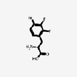 N[C@@H](Cc1ccc(Br)c(F)c1F)C(=O)O